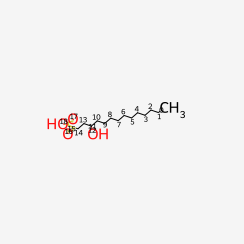 CCCCCCCCCCCC(O)CCS(=O)(=O)O